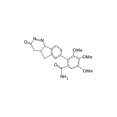 COc1cc(C(N)=O)c(-c2ccc3c(c2)CC2CC(=O)N=NC32)c(OC)c1OC